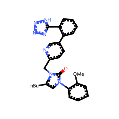 CCCCc1cn(-c2ccccc2OC)c(=O)n1Cc1ccc(-c2ccccc2-c2nnn[nH]2)cn1